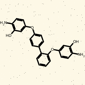 Nc1ccc(Oc2ccc(-c3ccccc3Oc3ccc(N)c(O)c3)cc2)cc1O